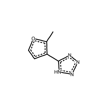 Cc1occc1-c1nnn[nH]1